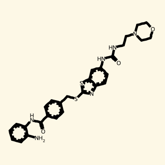 Nc1ccccc1NC(=O)c1ccc(CSc2nc3ccc(NC(=O)NCCN4CCOCC4)cc3s2)cc1